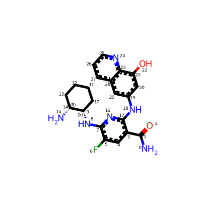 NC(=O)c1cc(F)c(N[C@H]2CCCC[C@H]2N)nc1Nc1cc(O)c2ncccc2c1